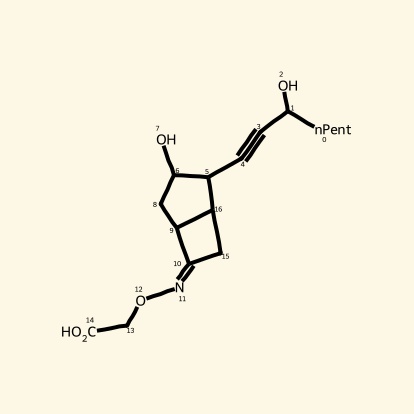 CCCCCC(O)C#CC1C(O)CC2C(=NOCC(=O)O)CC21